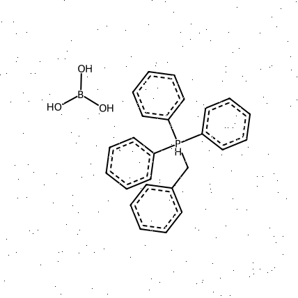 OB(O)O.c1ccc(C[PH](c2ccccc2)(c2ccccc2)c2ccccc2)cc1